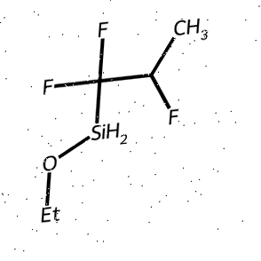 CCO[SiH2]C(F)(F)C(C)F